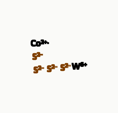 [Co+2].[S-2].[S-2].[S-2].[S-2].[W+6]